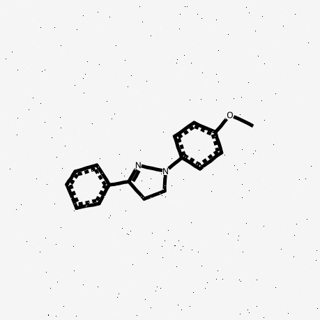 COc1ccc(N2CCC(c3ccccc3)=N2)cc1